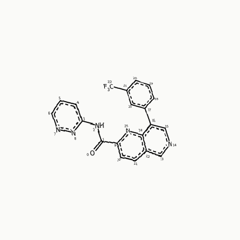 O=C(Nc1cccnn1)c1ccc2cncc(-c3cccc(C(F)(F)F)c3)c2n1